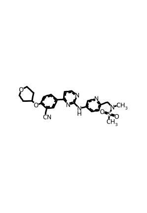 CN(Cc1ccc(Nc2nccc(-c3ccc(OC4CCOCC4)c(C#N)c3)n2)cn1)S(C)(=O)=O